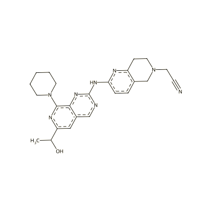 CC(O)c1cc2cnc(Nc3ccc4c(n3)CCN(CC#N)C4)nc2c(N2CCCCC2)n1